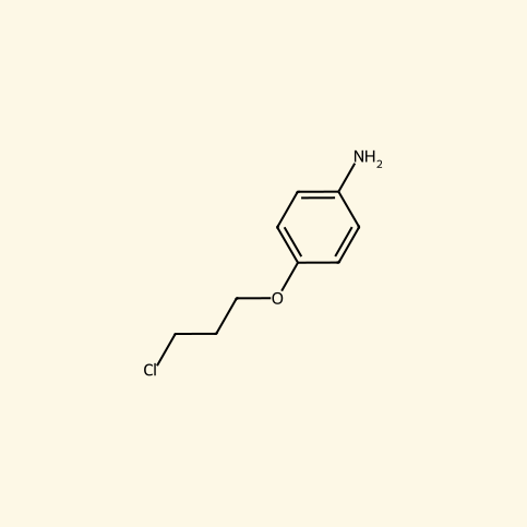 Nc1ccc(OCCCCl)cc1